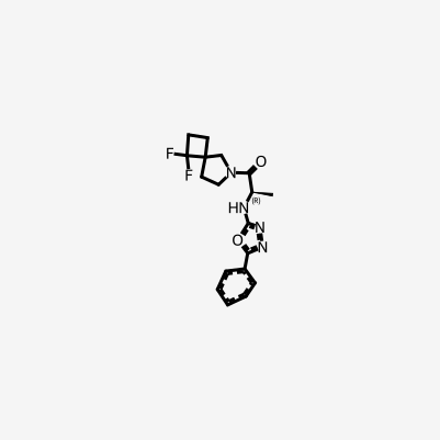 C[C@@H](Nc1nnc(-c2ccccc2)o1)C(=O)N1CCC2(CCC2(F)F)C1